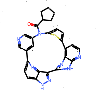 O=C(C1CCCC1)n1c2cncc(c2)c2ccc3[nH]nc(c4nc5c(nccc5c5ccc1s5)[nH]4)c3n2